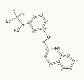 CCC(C)(C)C(O)c1cccc(OCc2ccc3ccccc3n2)c1